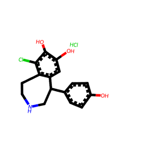 Cl.Oc1ccc(C2CNCCc3c2cc(O)c(O)c3Cl)cc1